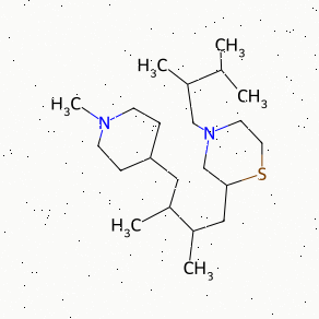 CC(C)C(C)CN1CCSC(CC(C)C(C)CC2CCN(C)CC2)C1